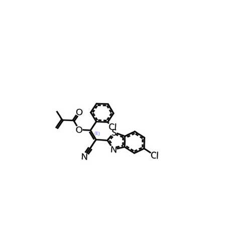 C=C(C)C(=O)O/C(=C(\C#N)c1nc2cc(Cl)ccc2s1)c1ccccc1Cl